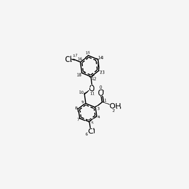 O=C(O)c1cc(Cl)ccc1COc1cccc(Cl)c1